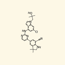 CC(C)(O)Cn1ccc2c(Nc3nccc(-c4cc(C#N)c5c(c4)C(C)(C)CN5)n3)cc(Cl)cc21